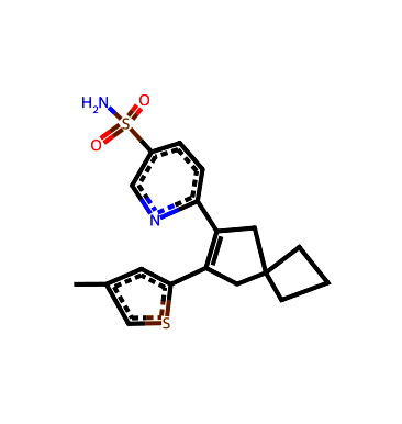 Cc1csc(C2=C(c3ccc(S(N)(=O)=O)cn3)CC3(CCC3)C2)c1